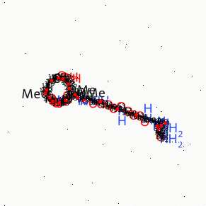 CO[C@H]1C[C@@H]2CC[C@@H](C)[C@@](O)(O2)C(=O)C(=O)N2CCCC[C@H]2C(=O)O[C@H]([C@H](C)C[C@@H]2CC[C@H](n3cc(CCCC(=O)NCCOCCOCCOCCC(=O)NCCOCCOCCOCCC(=O)NCCCCn4nc(-c5ccc6oc(N)nc6c5)c5c(N)ncnc54)nn3)[C@H](OC)C2)C[C@@H](OC)[C@H](C)/C=C(\C)[C@@H](O)[C@@H](O)C(=O)[C@H](C)C[C@H](C)/C=C/C=C/C=C/1C